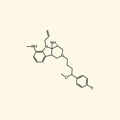 C=CCN1c2c(NC)cccc2C2CN(CCCC(OC)c3ccc(F)cc3)CCC21N